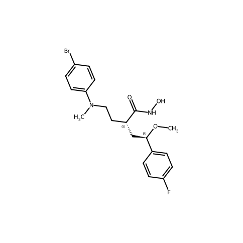 CO[C@H](C[C@H](CCN(C)c1ccc(Br)cc1)C(=O)NO)c1ccc(F)cc1